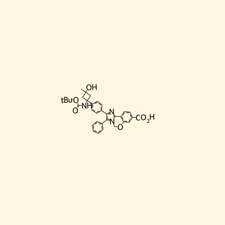 CC1(O)CC(NC(=O)OC(C)(C)C)(c2ccc(-c3nc4n(c3-c3ccccc3)COc3cc(C(=O)O)ccc3-4)cc2)C1